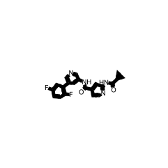 O=C(Nc1cncc(-c2cc(F)ccc2F)c1)c1ccnc(NC(=O)C2CC2)c1